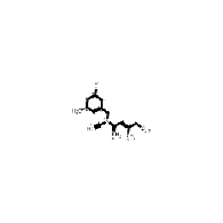 C#CN(CC1=C[C@@H](C)CC(F)C1)C(=C)/C=C(\C)CC